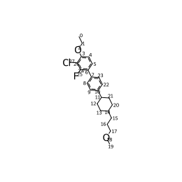 CCOc1ccc(-c2ccc(C3CCC(CCCOC)CC3)cc2)c(F)c1Cl